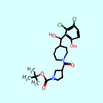 CC(C)(C)OC(=O)N1CCC(C(=O)N2CCCC(C(O)c3c(O)ccc(Cl)c3Cl)CC2)C1